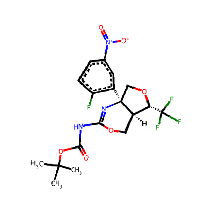 CC(C)(C)OC(=O)NC1=N[C@@]2(c3cc([N+](=O)[O-])ccc3F)CO[C@H](C(F)(F)F)[C@H]2CO1